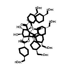 CCCCCCCCCCC[C@H]1CC[C@H](C(=O)O[C@@]2(C(=O)[C@H]3CC[C@H](CCCCCCCCCCC)CC3)[C@@](OC(=O)[C@H]3CC[C@H](CCCCCCCCCCC)CC3)(C(=O)[C@H]3CC[C@H](CCCCCCCCCCC)CC3)[C@@H](O)[C@H](O)[C@@H](O)[C@@]2(OC(=O)[C@H]2CC[C@H](CCCCCCCCCCC)CC2)C(=O)[C@H]2CC[C@H](CCCCCCCCCCC)CC2)CC1